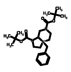 CC(C)(C)OC(=O)N1CC[N+]2(Cc3ccccc3)CCN(C(=O)OC(C)(C)C)C2C1